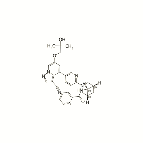 CC(C)(O)COc1cc(-c2ccc(N3C[C@H]4C[C@@H](C3)[C@H]4NC(=O)c3ccccn3)nc2)c2c(C#N)cnn2c1